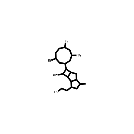 CCCC1CC(CC)CCC(CC)CC(C2C(CCC)C3C2CC2C(C)CC(CCS)C23)C1